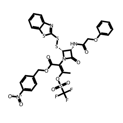 C/C(OS(=O)(=O)C(F)(F)F)=C(/C(=O)OCc1ccc([N+](=O)[O-])cc1)N1C(=O)[C@@H](NC(=O)COc2ccccc2)[C@H]1SSc1nc2ccccc2s1